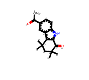 COC(=O)c1ccc2[nH]c3c(c2c1)C(C)(C)CC(C)(C)C3=O